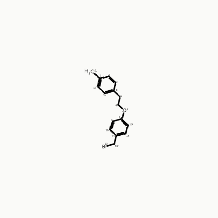 Cc1ccc(CCOc2ccc(CBr)cc2)cc1